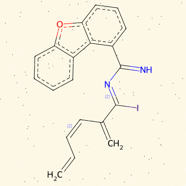 C=C/C=C\C(=C)/C(I)=N/C(=N)c1cccc2oc3ccccc3c12